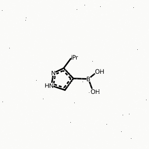 CC(C)c1n[nH]cc1B(O)O